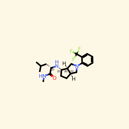 CNC(=O)[C@H](CC(C)C)N[C@H]1CC[C@@H]2CN(c3ccccc3C(F)(F)F)C[C@@H]21